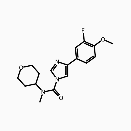 COc1ccc(-c2cn(C(=O)N(C)C3CCOCC3)cn2)cc1F